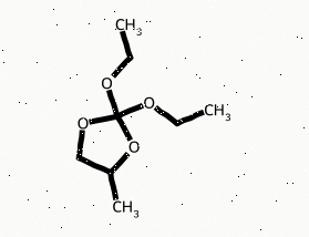 CCOC1(OCC)OCC(C)O1